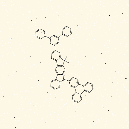 CC1(C)c2cc(-c3cc(-c4ccccc4)cc(-c4ccccc4)c3)ccc2-c2cc3c4ccccc4n(-c4ccc5c6ccccc6c6ccccc6c5c4)c3cc21